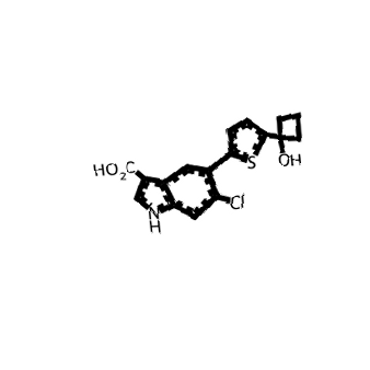 O=C(O)c1c[nH]c2cc(Cl)c(-c3ccc(C4(O)CCC4)s3)cc12